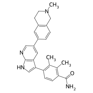 Cc1c(C(N)=O)ccc(-c2c[nH]c3ncc(-c4ccc5c(c4)CCN(C)C5)cc23)c1C